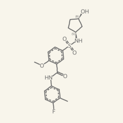 COc1ccc(S(=O)(=O)N[C@H]2CC[C@@H](O)C2)cc1C(=O)Nc1ccc(F)c(C)c1